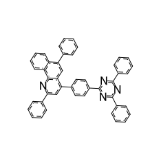 c1ccc(-c2cc(-c3ccc(-c4nc(-c5ccccc5)nc(-c5ccccc5)n4)cc3)c3cc(-c4ccccc4)c4ccccc4c3n2)cc1